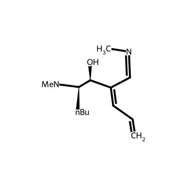 C=C/C=C(\C=N/C)[C@H](O)[C@@H](CCCC)NC